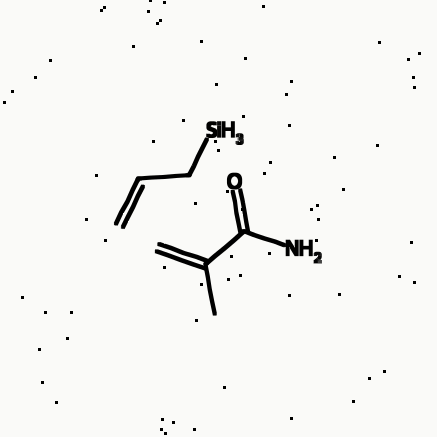 C=C(C)C(N)=O.C=CC[SiH3]